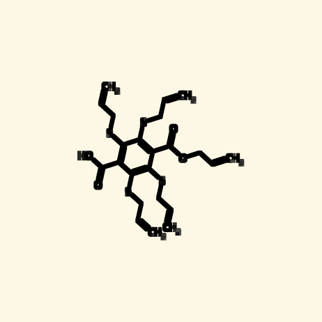 C=CCOC(=O)c1c(SCC=C)c(SCC=C)c(C(=O)O)c(SCC=C)c1SCC=C